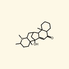 CC1CCC2(C)C(CC3CC2(O)C2=CC(=O)C4CCCCC4(C)C23)N1C